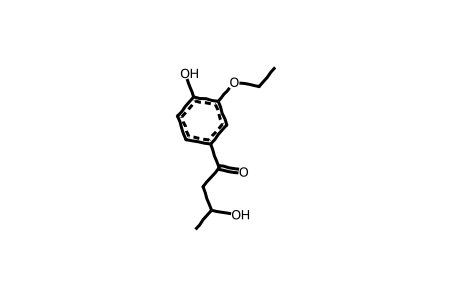 CCOc1cc(C(=O)CC(C)O)ccc1O